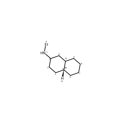 CCNC1CC[C@H]2CCCCC2C1